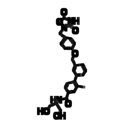 Cc1cc(C(=O)NC(CO)CO)ccc1-c1cccc(COc2ccc(Cn3oc(=O)[nH]c3=O)cc2)c1